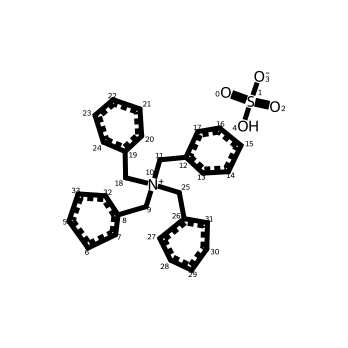 O=S(=O)([O-])O.c1ccc(C[N+](Cc2ccccc2)(Cc2ccccc2)Cc2ccccc2)cc1